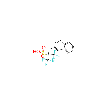 O=S(=O)(O)C(Cc1ccc2ccccc2c1)(C(F)(F)F)C(F)(F)F